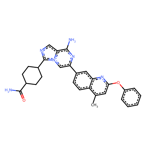 Cc1cc(Oc2ccccc2)nc2cc(-c3cn4c(C5CCC(C(N)=O)CC5)ncc4c(N)n3)ccc12